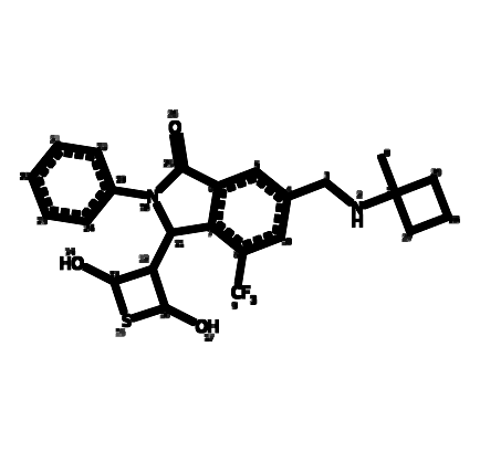 CC1(NCc2cc3c(c(C(F)(F)F)c2)C(C2C(O)SC2O)N(c2ccccc2)C3=O)CCC1